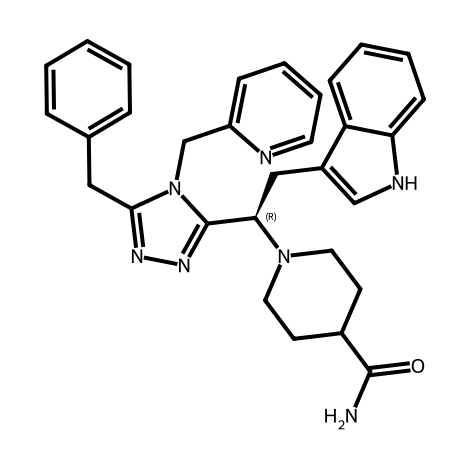 NC(=O)C1CCN([C@H](Cc2c[nH]c3ccccc23)c2nnc(Cc3ccccc3)n2Cc2ccccn2)CC1